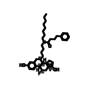 CCCCCCCCN(CCCC[C@@H]1Cc2cc(O)ccc2[C@@H]2[C@@H]1[C@@H]1CC[C@H](O)[C@@]1(C)C[C@@H]2F)C(=O)CCCc1ccccc1